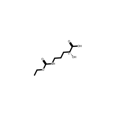 CCOC(=O)NCCC[C@@H](O)C(=O)O